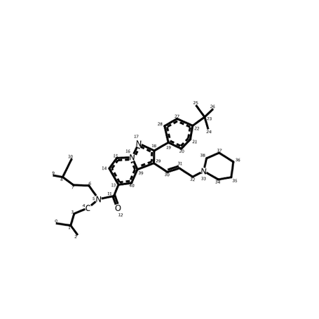 CC(C)CCN(CCC(C)C)C(=O)c1ccn2nc(-c3ccc(C(C)(C)C)cc3)c(/C=C/CN3CCCCC3)c2c1